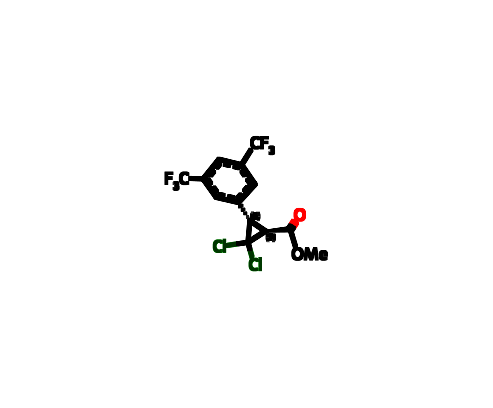 COC(=O)[C@@H]1[C@@H](c2cc(C(F)(F)F)cc(C(F)(F)F)c2)C1(Cl)Cl